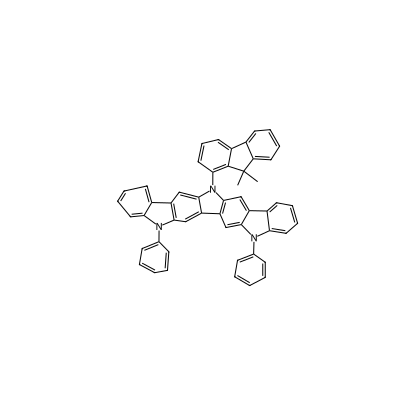 CC1(C)c2ccccc2-c2cccc(-n3c4cc5c6ccccc6n(-c6ccccc6)c5cc4c4cc5c(cc43)c3ccccc3n5-c3ccccc3)c21